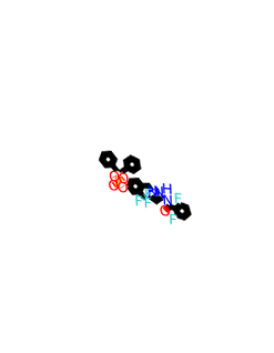 O=C(Nc1ccn(Cc2ccc(OP(=O)(OCc3ccccc3)OCc3ccccc3)cc2C(F)(F)F)n1)c1c(F)cccc1F